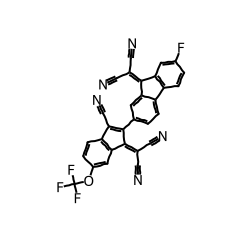 N#CC(C#N)=C1C(c2ccc3c(c2)C(=C(C#N)C#N)c2cc(F)ccc2-3)=C(C#N)c2ccc(OC(F)(F)F)cc21